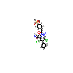 CC(C)CC1(NC(=O)Cc2ccc(S(C)(=O)=O)cc2)C=C(Cl)C(c2ccccc2)=C(Cl)C1C#N